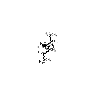 CC(C)CCC[C@H](C)CCC[C@@H](C)C(OC([C@H](C)CCC[C@@H](C)CCCC(C)C)C(C)(C)C)C(C)(C)C